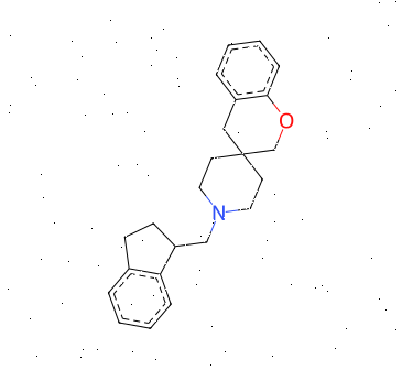 c1ccc2c(c1)CC1(CCN(CC3CCc4ccccc43)CC1)CO2